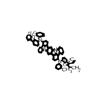 C=Cc1oc2c(N(c3cccc(C)c3)c3ccc4c5cc6c(cc5n5c7ccccc7c3c45)c3ccc(N(c4cccc(C)c4)c4cccc5c4oc4ccccc45)c4c5ccccc5n6c34)cccc2c1/C=C\C